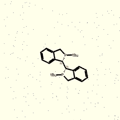 CC(C)(C)P1Cc2ccccc2[C@H]1[C@@H]1c2ccccc2CP1C(C)(C)C